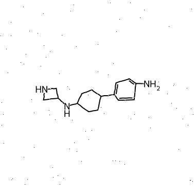 Nc1ccc(C2CCC(NC3CNC3)CC2)cc1